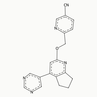 N#Cc1ccc(COc2cc(-c3cncnc3)c3c(n2)CCC3)nc1